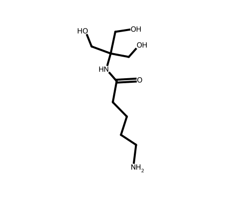 NCCCCC(=O)NC(CO)(CO)CO